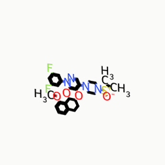 COc1cccc2c1CC(Oc1c(N3CCN([S+]([O-])C(C)C)CC3)cnn(-c3cc(F)cc(F)c3)c1=O)CC2